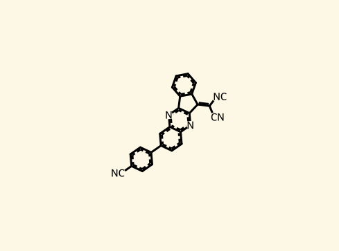 [C-]#[N+]/C(C#N)=C1\c2ccccc2-c2nc3cc(-c4ccc(C#N)cc4)ccc3nc21